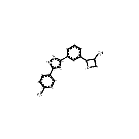 OC1COC1c1cccc(-c2nc(-c3ccc(C(F)(F)F)cc3)no2)c1